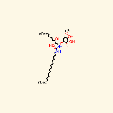 CCCCCCCCCCCCCCCCCCCCCCCCNC(=O)N[C@@H](CO[C@H]1C[C@H](COCCC)[C@H](O)[C@H](O)[C@H]1O)[C@H](O)[C@H](O)CCCCCCCCCCCCCC